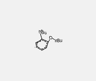 CCCCOc1cc[c]cc1CCCC